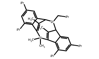 CC1=C2c3c(C(C)C)cc(C(C)C)cc3[CH]1[Zr]([CH2]C(C)C)[CH]1C(C)=C(c3c(C(C)C)cc(C(C)C)cc31)[Si]2(C)C